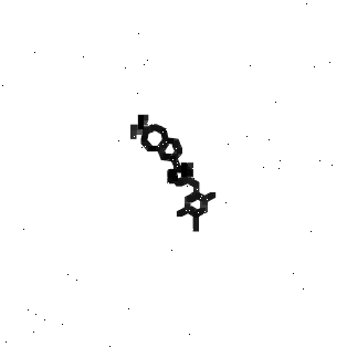 Cc1cc(Cc2csc(-c3ccc4c(c3)CCC(F)(F)CC4)n2)c(C)cc1I